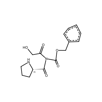 O=C(CO)N(C(=O)OCc1ccccc1)C(=O)[C@@H]1CCCN1